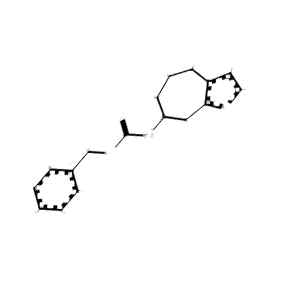 O=C(NC1CCCc2ccsc2C1)OCc1ccccc1